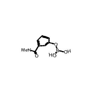 CNC(=O)c1cccc(OB(O)O)c1